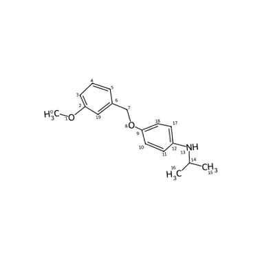 COc1cccc(COc2ccc(NC(C)C)cc2)c1